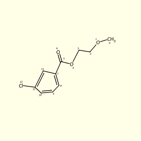 COCCOC(=O)c1cccc(Cl)c1